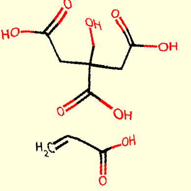 C=CC(=O)O.O=C(O)CC(O)(CC(=O)O)C(=O)O